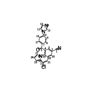 N#Cc1cc(C(=O)c2ccc(-n3ccnc3)cc2)c2c(c1)cc(Cl)c1cccn12